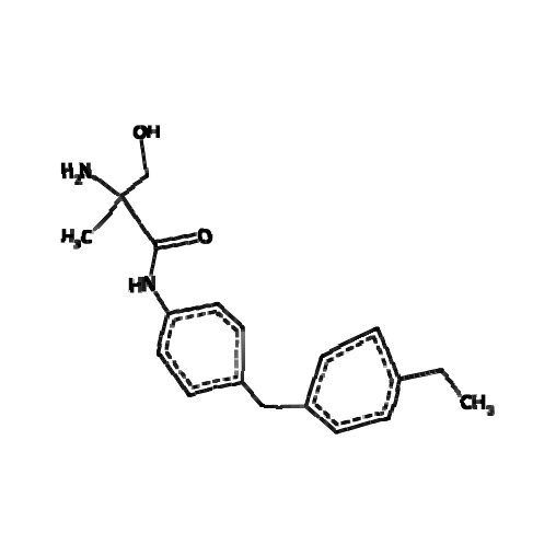 CCc1ccc(Cc2ccc(NC(=O)C(C)(N)CO)cc2)cc1